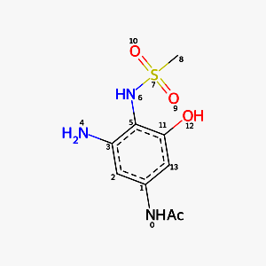 CC(=O)Nc1cc(N)c(NS(C)(=O)=O)c(O)c1